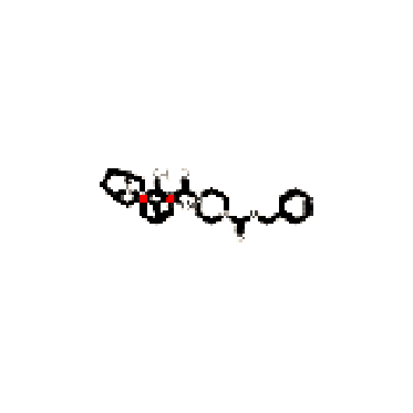 Cc1c(C(=O)N2CCN(C(=O)OCc3ccccc3)CC2)cccc1N1C2CCC1CN(C(=O)OC(C)(C)C)C2